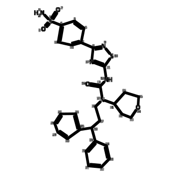 NS(=O)(=O)c1ccc(-c2nsc(NC(=O)N(CCC(c3ccccc3)c3ccccc3)C3CCOCC3)n2)cc1